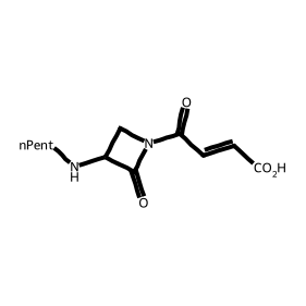 CCCCCNC1CN(C(=O)C=CC(=O)O)C1=O